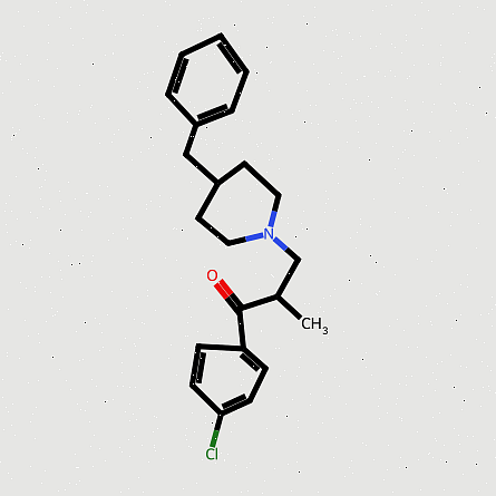 CC(CN1CCC(Cc2ccccc2)CC1)C(=O)c1ccc(Cl)cc1